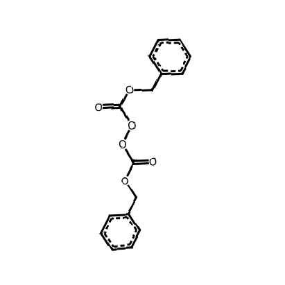 O=C(OCc1ccccc1)OOC(=O)OCc1ccccc1